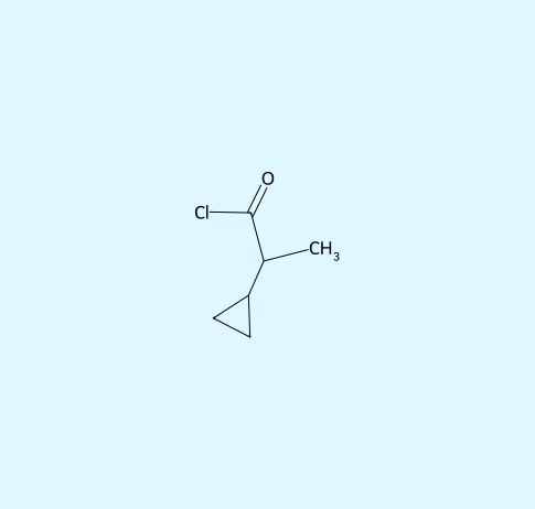 CC(C(=O)Cl)C1CC1